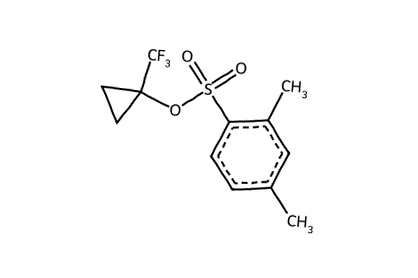 Cc1ccc(S(=O)(=O)OC2(C(F)(F)F)CC2)c(C)c1